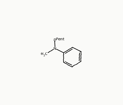 [CH2]N(CCCCC)c1ccccc1